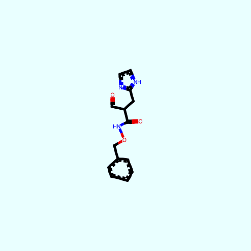 O=CC(Cc1ncc[nH]1)C(=O)NOCc1ccccc1